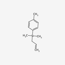 C=CC[Si](C)(C)c1ccc(C)cc1